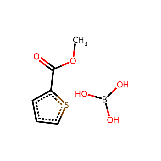 COC(=O)c1cccs1.OB(O)O